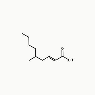 CCCCC(C)C/C=C/C(=O)O